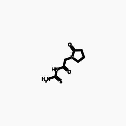 NC(=S)NC(=O)CN1CCCC1=O